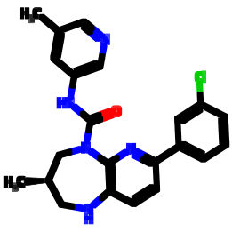 Cc1cncc(NC(=O)N2C[C@H](C)CNc3ccc(-c4cccc(Cl)c4)nc32)c1